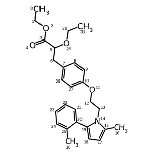 CCOC(=O)C(Cc1ccc(OCCn2c(C)ccc2-c2ccccc2C)cc1)OCC